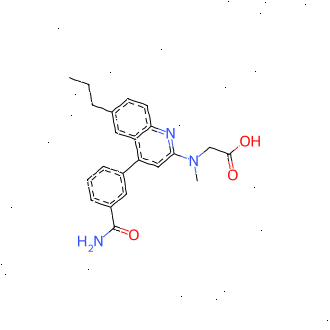 CCCc1ccc2nc(N(C)CC(=O)O)cc(-c3cccc(C(N)=O)c3)c2c1